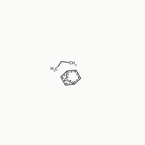 CCC.c1cc2ccc1o2